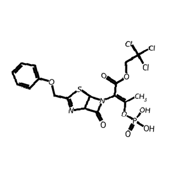 CC(OP(=O)(O)O)=C(C(=O)OCC(Cl)(Cl)Cl)N1C(=O)C2N=C(COc3ccccc3)SC21